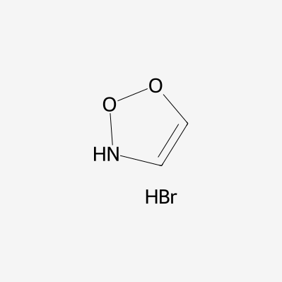 Br.C1=COON1